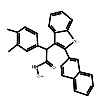 Cc1ccc(C(C(=O)NO)c2c(-c3ccc4ccccc4c3)[nH]c3ccccc23)cc1C